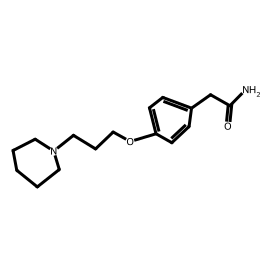 NC(=O)Cc1ccc(OCCCN2CCCCC2)cc1